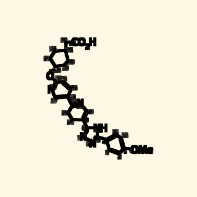 COc1ccc(-c2nnc(C3=CN=C(c4ccc(O[C@H]5CC[C@H](CC(=O)O)CC5)nc4)CC3)[nH]2)cc1